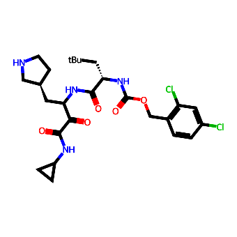 CC(C)(C)C[C@H](NC(=O)OCc1ccc(Cl)cc1Cl)C(=O)NC(C[C@@H]1CCNC1)C(=O)C(=O)NC1CC1